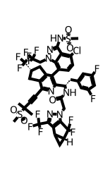 CC(C)(C#Cc1nc([C@H](Cc2cc(F)cc(F)c2)NC(=O)Cn2nc(C(F)(F)F)c3c2C(F)(F)[C@@H]2CC32)c(-c2ccc(Cl)c3c(NS(C)(=O)=O)nn(CC(F)(F)F)c23)c2c1C[C@H](C(F)(F)F)C2)S(C)(=O)=O